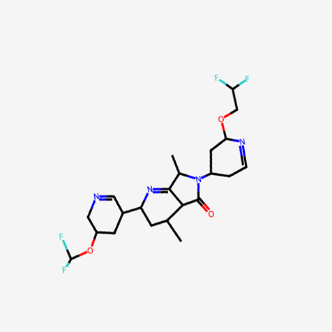 CC1CC(C2C=NCC(OC(F)F)C2)N=C2C1C(=O)N(C1CC=NC(OCC(F)F)C1)C2C